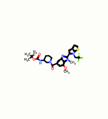 COc1cc(C(=O)N2CCCC(NC(=O)OC(C)(C)C)C2)cc2nc(-c3cc4ccsc4n3CC(F)(F)F)n(C)c12